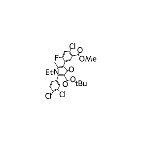 CCn1c(C)c(-c2cc(C(=O)OC)c(Cl)cc2F)c(=O)c(C(=O)OC(C)(C)C)c1-c1ccc(Cl)c(Cl)c1